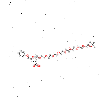 C=C(CC(COc1ccccc1)OCCOCCOCCOCCOCCOCCOCCOCCOCCOC(C)(C)C)C(=O)O